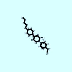 CCCCCC1CCC(C2CC[C@@H](c3ccc(CC)cc3)[C@H](C)C2)CC1